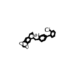 Clc1ccccc1-c1ccc(CC2NCCc3cc4c(cc32)OCO4)cc1